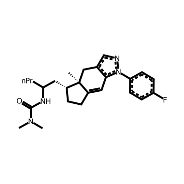 CCCC(C[C@H]1CCC2=Cc3c(cnn3-c3ccc(F)cc3)C[C@@]21C)NC(=O)N(C)C